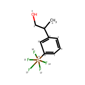 CC(CO)c1cccc(S(F)(F)(F)(F)F)c1